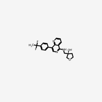 CC(F)(F)c1ccc(-c2cnc(NC[C@]3(O)CCOC3)c3cccnc23)cc1